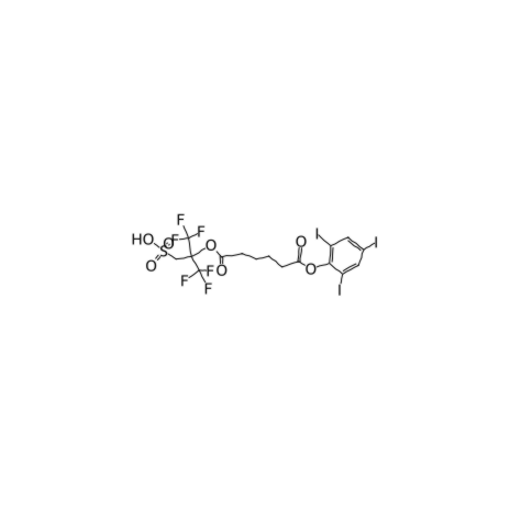 O=C(CCCCC(=O)OC(CS(=O)(=O)O)(C(F)(F)F)C(F)(F)F)Oc1c(I)cc(I)cc1I